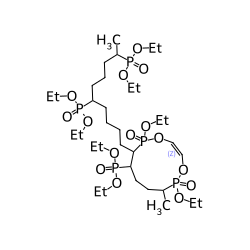 CCOP1(=O)O/C=C\OP(=O)(OCC)C(CCCCC(CCCC(C)P(=O)(OCC)OCC)P(=O)(OCC)OCC)C(P(=O)(OCC)OCC)CCC1C